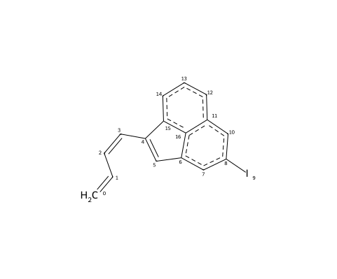 C=C/C=C\C1=Cc2cc(I)cc3cccc1c23